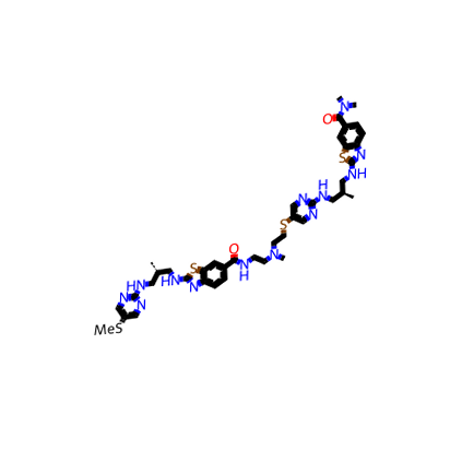 CSc1cnc(NC[C@H](C)CNc2nc3ccc(C(=O)NCCN(C)CCSc4cnc(NC[C@H](C)CNc5nc6ccc(C(=O)N(C)C)cc6s5)nc4)cc3s2)nc1